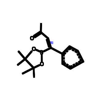 CC(=O)/C=C(\B1OC(C)(C)C(C)(C)O1)c1ccccc1